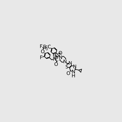 O=C(NCc1ccc(OC(F)F)c(F)c1)[C@H]1CN(c2nc3nc(C4CC4)[nH]c(=O)c3s2)CCN1S(=O)(=O)c1ccc(C(F)(F)F)cc1